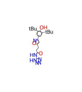 CC(C)(C)c1cc(-c2cc(CCC(=O)Nc3nnn[nH]3)on2)cc(C(C)(C)C)c1O